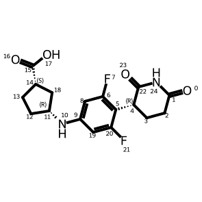 O=C1CC[C@H](c2c(F)cc(N[C@@H]3CC[C@H](C(=O)O)C3)cc2F)C(=O)N1